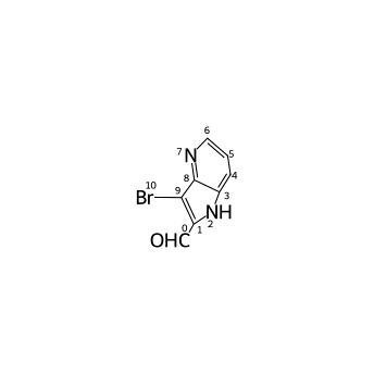 O=Cc1[nH]c2cccnc2c1Br